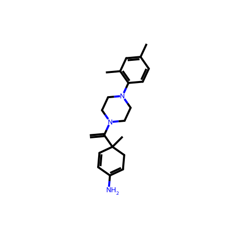 C=C(N1CCN(c2ccc(C)cc2C)CC1)C1(C)C=CC(N)=CC1